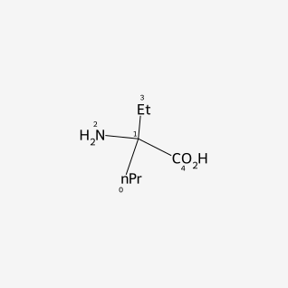 CCCC(N)(CC)C(=O)O